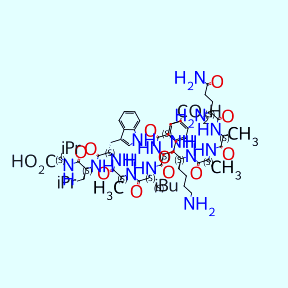 CC[C@H](C)[C@H](NC(=O)[C@H](Cc1ccccc1)NC(=O)[C@H](CCC(=O)O)NC(=O)[C@H](CCCCN)NC(=O)[C@H](C)NC(=O)[C@H](C)NC(=O)[C@@H](N)CCC(N)=O)C(=O)N[C@@H](C)C(=O)N[C@@H](Cc1c[nH]c2ccccc12)C(=O)N[C@@H](CC(C)C)C(=O)N[C@H](C(=O)O)C(C)C